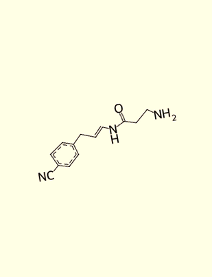 N#Cc1ccc(CC=CNC(=O)CCN)cc1